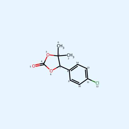 CC1(C)OC(=O)OC1c1ccc(Cl)cc1